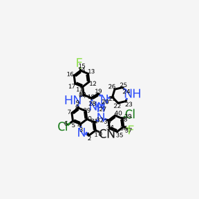 N#Cc1cnc2c(Cl)cc(N[C@H](c3ccc(F)cc3)c3cn(C4CCNCC4)nn3)cc2c1Nc1ccc(F)c(Cl)c1